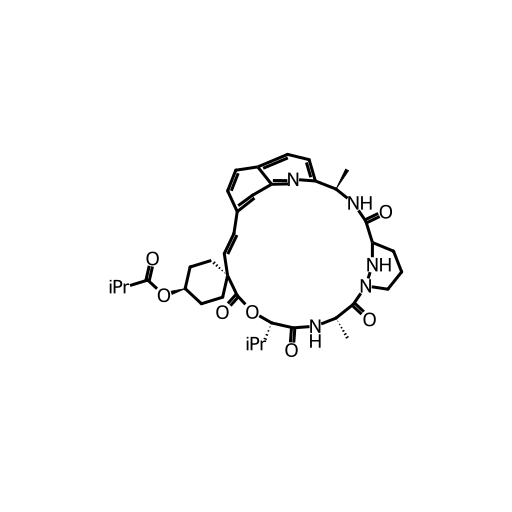 CC(C)C(=O)O[C@H]1CC[C@@]2(/C=C/c3ccc4ccc(nc4c3)[C@@H](C)NC(=O)C3CCCN(N3)C(=O)[C@H](C)NC(=O)[C@H](C(C)C)OC2=O)CC1